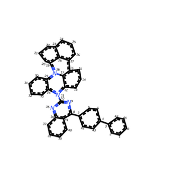 c1ccc(-c2ccc(-c3nc(-n4c5cccc6c5-n(c5cccc7cccc6c75)c5ccccc54)nc4ccccc34)cc2)cc1